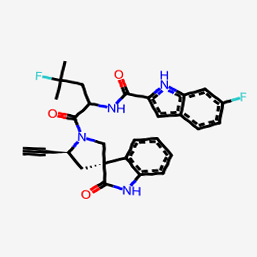 C#C[C@@H]1C[C@@]2(CN1C(=O)C(CC(C)(C)F)NC(=O)c1cc3ccc(F)cc3[nH]1)C(=O)Nc1ccccc12